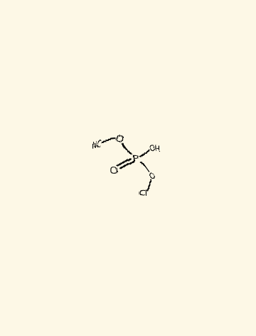 N#COP(=O)(O)OCl